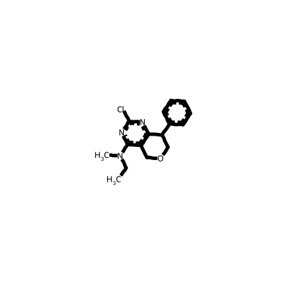 CCN(C)c1nc(Cl)nc2c1COCC2c1ccccc1